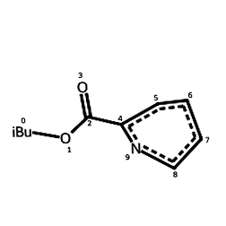 CCC(C)OC(=O)c1ccccn1